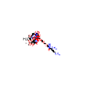 CC[C@@]1(OC(=O)[C@@H](NC(=O)[C@@H]2CCCN2C(=O)[C@H](CC(=O)O)NC(=O)CCOCCOCCOCCNC(=O)[C@@H](N)CCCCN)C(C)C)C(=O)OCc2c1cc1n(c2=O)Cc2cc3cc4c(cc3nc2-1)OCO4